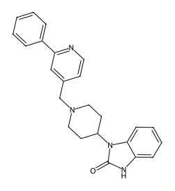 O=c1[nH]c2ccccc2n1C1CCN(Cc2ccnc(-c3ccccc3)c2)CC1